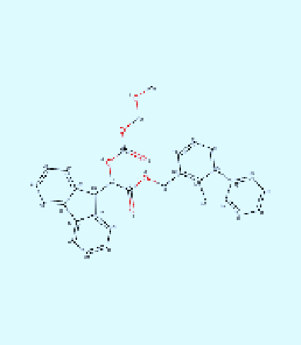 COCOC(=O)OC(C(=O)OCc1cccc2c1Cc1ccccc1-2)C1c2ccccc2-c2ccccc21